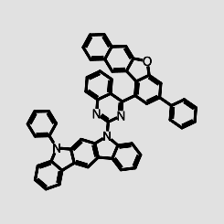 c1ccc(-c2cc(-c3nc(-n4c5ccccc5c5cc6c7ccccc7n(-c7ccccc7)c6cc54)nc4ccccc34)c3c(c2)oc2cc4ccccc4cc23)cc1